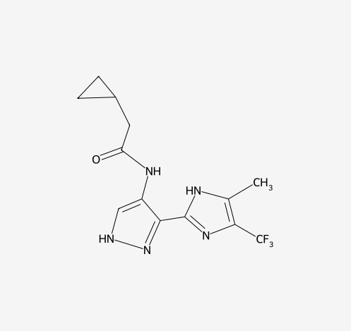 Cc1[nH]c(-c2n[nH]cc2NC(=O)CC2CC2)nc1C(F)(F)F